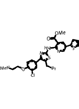 CNCCOc1ccc(-c2nc(Nc3ncc(-c4cccs4)cc3C(=O)OC)sc2CC(C)C)cc1Cl